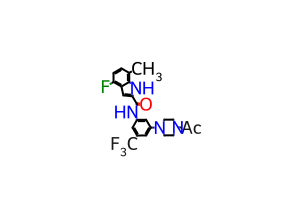 CC(=O)N1CCN(c2cc(NC(=O)c3cc4c(F)ccc(C)c4[nH]3)cc(C(F)(F)F)c2)CC1